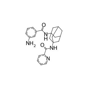 Nc1cccc(C(=O)NC23CC4CC(C2)CC(NC(=O)c2ccccn2)(C4)C3)c1